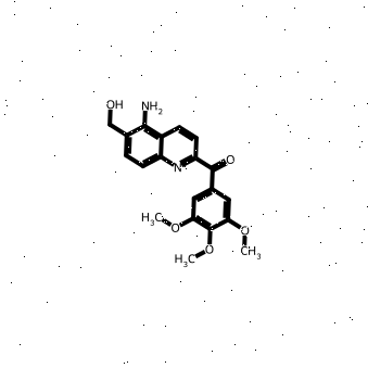 COc1cc(C(=O)c2ccc3c(N)c(CO)ccc3n2)cc(OC)c1OC